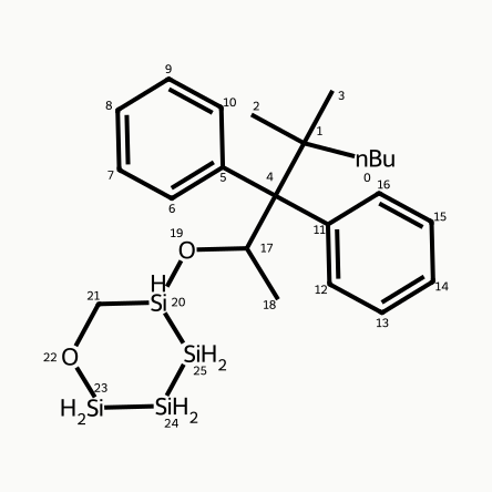 CCCCC(C)(C)C(c1ccccc1)(c1ccccc1)C(C)O[SiH]1CO[SiH2][SiH2][SiH2]1